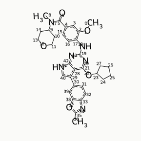 COc1cc(C(=O)N(C)C2CCOCC2)ccc1Nc1nc(OC2CCCC2)c2c(-c3ccc4nc(C)oc4c3)c[nH]c2n1